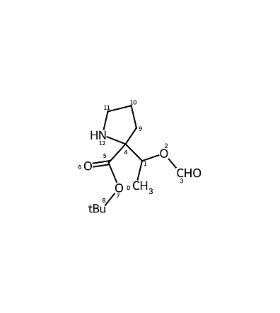 CC(OC=O)C1(C(=O)OC(C)(C)C)CCCN1